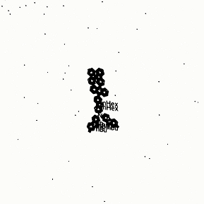 CCCCCCC1(CCCCCC)c2cc(-c3c4ccccc4c(-c4ccc5c(c4)C(c4ccccc4)(c4ccccc4)c4ccccc4-5)c4ccccc34)ccc2-c2ccc(N(c3ccc4c(c3)C(CCCC)(CCCC)c3cc(C)ccc3-4)c3ccc4c(c3)C(CCCC)(CCCC)c3cc(C)ccc3-4)cc21